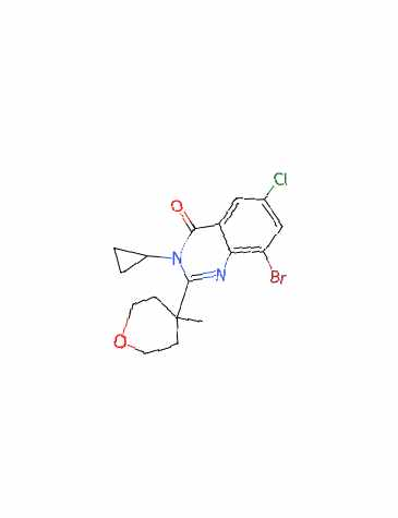 CC1(c2nc3c(Br)cc(Cl)cc3c(=O)n2C2CC2)CCOCC1